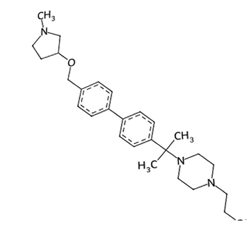 CN1CCC(OCc2ccc(-c3ccc(C(C)(C)N4CCN(CCO)CC4)cc3)cc2)C1